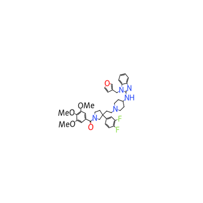 COc1cc(C(=O)N2CCC(CCN3CCC(Nc4nc5ccccc5n4Cc4ccoc4)CC3)(c3ccc(F)c(F)c3)C2)cc(OC)c1OC